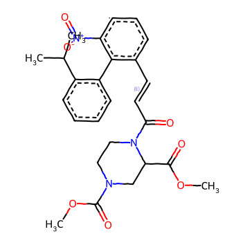 COC(=O)C1CN(C(=O)OC)CCN1C(=O)/C=C/c1cc[c]c([N+](=O)[O-])c1-c1ccccc1C(C)C